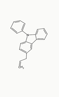 C=CCc1ccc2c(c1)c1ccccc1n2-c1ccccc1